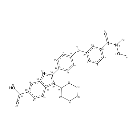 CON(C)C(=O)c1cccc(Oc2ccc(-c3nc4cc(C(=O)O)ccc4n3C3CCCCC3)cc2)c1